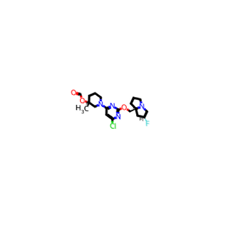 C[C@@]1(OC=O)CCCN(c2cc(Cl)nc(OC[C@@]34CCCN3C[C@H](F)C4)n2)C1